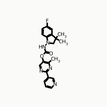 Cc1nc(-c2cccnc2)ncc1OC(=O)NN1CC(C)(C)c2cc(F)ccc21